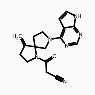 C=C1CCN(C(=O)CC#N)C12CCN(c1ncnc3[nH]ccc13)C2